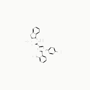 O=C(N[C@@H]1c2ccccc2C[C@H]1O)c1cn(-c2ccc(Cl)cc2)c(-c2ccccc2Cl)n1